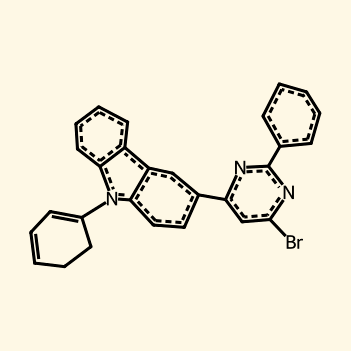 Brc1cc(-c2ccc3c(c2)c2ccccc2n3C2=CC=CCC2)nc(-c2ccccc2)n1